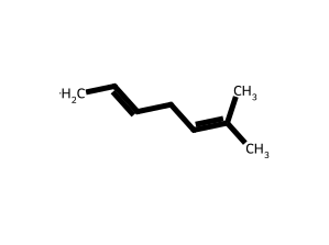 [CH2]/C=C/CC=C(C)C